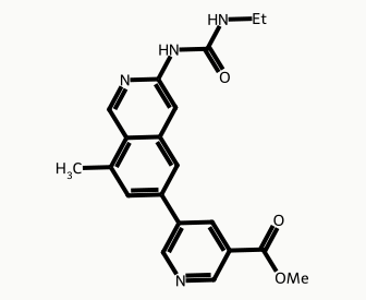 CCNC(=O)Nc1cc2cc(-c3cncc(C(=O)OC)c3)cc(C)c2cn1